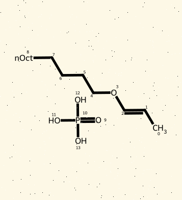 CC=COCCCCCCCCCCCC.O=P(O)(O)O